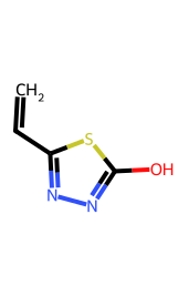 C=Cc1nnc(O)s1